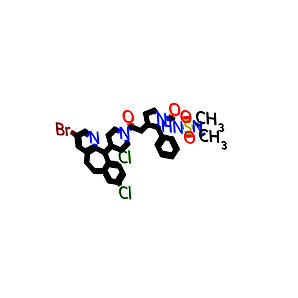 CN(C)S(=O)(=O)NC(=O)N1CCC(CC(=O)N2CCC(C3c4ncc(Br)cc4CCc4cc(Cl)cc(Cl)c43)CC2)C1c1ccccc1